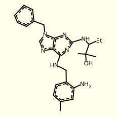 CCC(Nc1nc(NCc2ccc(C)cc2N)c2ncn(Cc3ccccc3)c2n1)C(C)(C)O